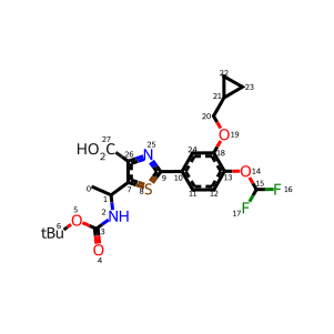 CC(NC(=O)OC(C)(C)C)c1sc(-c2ccc(OC(F)F)c(OCC3CC3)c2)nc1C(=O)O